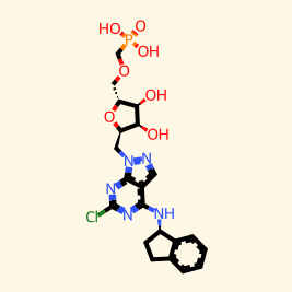 O=P(O)(O)COC[C@H]1O[C@H](Cn2ncc3c(N[C@@H]4CCc5ccccc54)nc(Cl)nc32)[C@H](O)[C@@H]1O